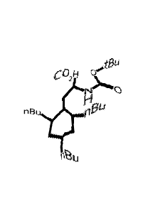 CCCCC1CC(CCCC)C(CC(NC(=O)OC(C)(C)C)C(=O)O)C(CCCC)C1